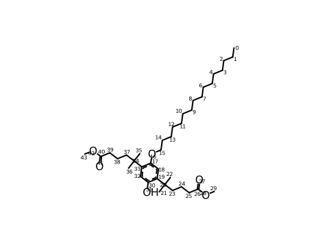 CCCCCCCCCCCCCCCCOc1cc(C(C)(C)CCCC(=O)OC)c(O)cc1C(C)(C)CCCC(=O)OC